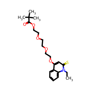 CCn1c(=S)cc(OCCOCCOCCOC(=O)C(C)(C)C)c2ccccc21